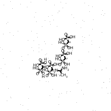 CC(N)N.O=P(O)(O)CP(=O)(O)O.O=P(O)(O)CP(=O)(O)O.O=P(O)(O)CP(=O)(O)O.O=P(O)(O)CP(=O)(O)O